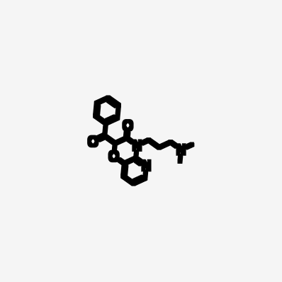 CN(C)CCCN1C(=O)C(C(=O)c2ccccc2)Oc2cccnc21